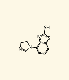 Sc1nc2c(N3C=NCC3)cccc2s1